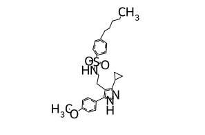 CCCCCc1ccc(S(=O)(=O)NCCc2c(C3CC3)n[nH]c2-c2ccc(OC)cc2)cc1